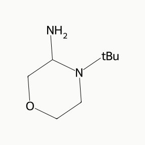 CC(C)(C)N1CCOCC1N